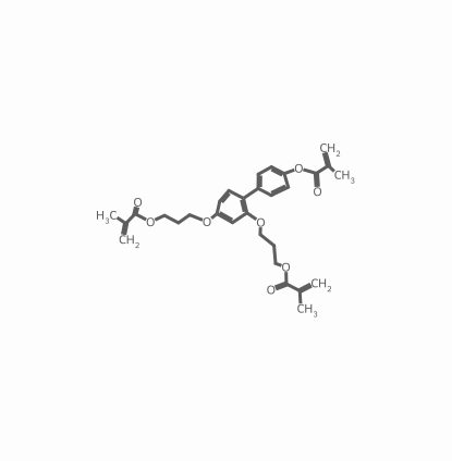 C=C(C)C(=O)OCCCOc1ccc(-c2ccc(OC(=O)C(=C)C)cc2)c(OCCCOC(=O)C(=C)C)c1